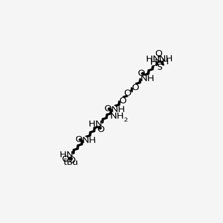 CC(C)(C)OC(=O)NCCCCCC(=O)NCCCCCC(=O)NCCCC[C@H](N)C(=O)NCCCOCCOCCOCCCNC(=O)CCCC[C@@H]1SC[C@@H]2NC(=O)N[C@@H]21